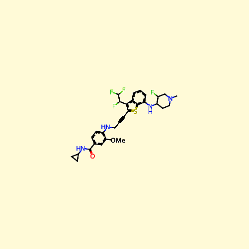 COc1cc(C(=O)NC2CC2)ccc1NCC#Cc1sc2c(NC3CCN(C)CC3F)cccc2c1C(F)C(F)F